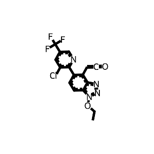 CCOn1nnc2c(C=C=O)c(-c3ncc(C(F)(F)F)cc3Cl)ccc21